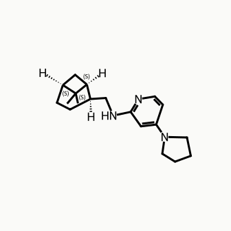 CC1(C)[C@H]2CC[C@H](CNc3cc(N4CCCC4)ccn3)[C@@H]1C2